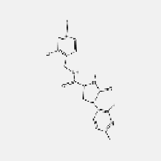 Cc1ccc(N2CC(C(=O)NCc3ccc(F)cc3Cl)N(C)C2=O)c(C)n1